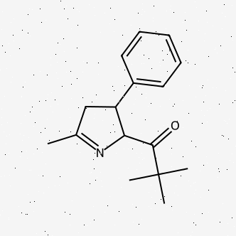 CC1=NC(C(=O)C(C)(C)C)C(c2ccccc2)C1